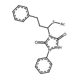 CC(=O)SC(CCc1ccccc1)n1c(=O)[nH]n(-c2ccccc2)c1=O